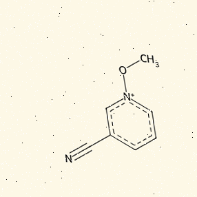 CO[n+]1cccc(C#N)c1